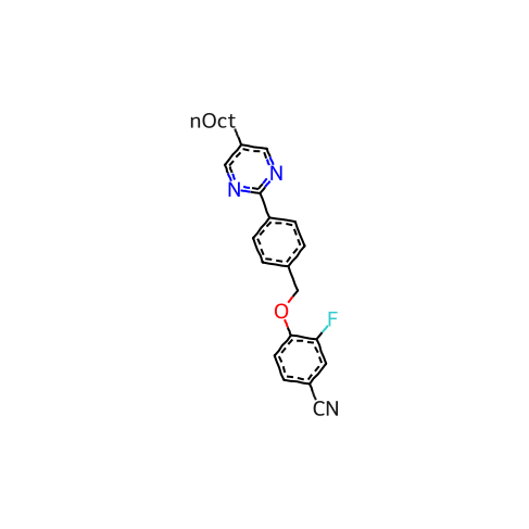 CCCCCCCCc1cnc(-c2ccc(COc3ccc(C#N)cc3F)cc2)nc1